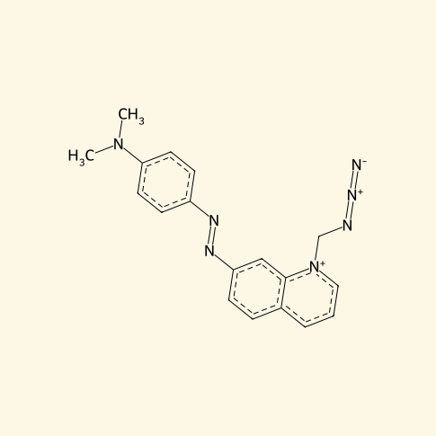 CN(C)c1ccc(N=Nc2ccc3ccc[n+](CN=[N+]=[N-])c3c2)cc1